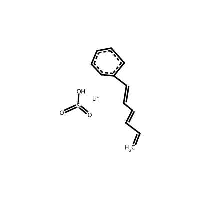 C=CC=CC=Cc1ccccc1.O=[S-](=O)O.[Li+]